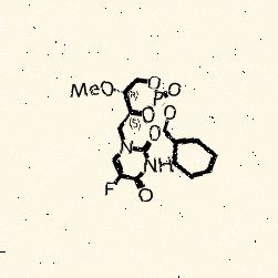 CO[C@@H]1COP(=O)(OCC2CCCCC2)O[C@H]1Cn1cc(F)c(=O)[nH]c1=O